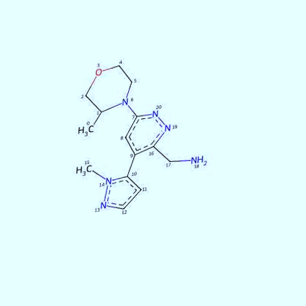 CC1COCCN1c1cc(-c2ccnn2C)c(CN)nn1